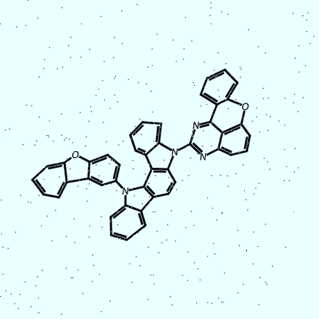 c1ccc2c(c1)Oc1cccc3nc(-n4c5ccccc5c5c4ccc4c6ccccc6n(-c6ccc7oc8ccccc8c7c6)c45)nc-2c13